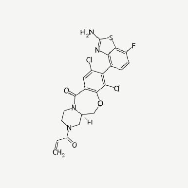 C=CC(=O)N1CCN2C(=O)c3cc(Cl)c(-c4ccc(F)c5sc(N)nc45)c(Cl)c3OC[C@H]2C1